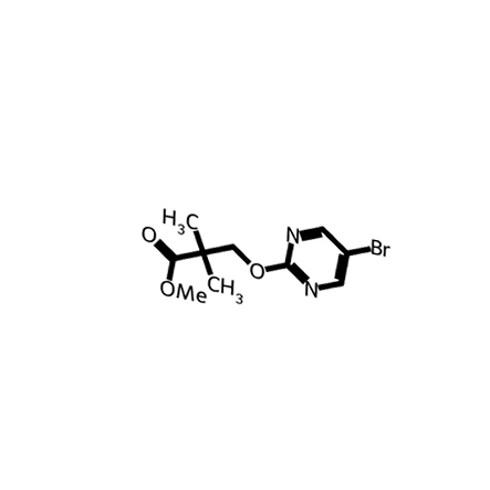 COC(=O)C(C)(C)COc1ncc(Br)cn1